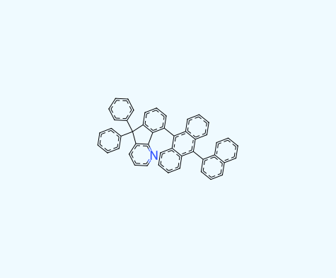 c1ccc(C2(c3ccccc3)c3cccnc3-c3c(-c4c5ccccc5c(-c5cccc6ccccc56)c5ccccc45)cccc32)cc1